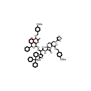 COc1ccc(COC(=O)C2=C(CSc3cnns3)CS[C@H]3C(NC(=O)/C(=N\OC(OC(c4ccccc4)c4ccccc4)C4=CC(=O)C(OCc5ccc(OC)cc5)C(C)=N4)c4csc(NC(c5ccccc5)(c5ccccc5)c5ccccc5)n4)C(=O)N23)cc1